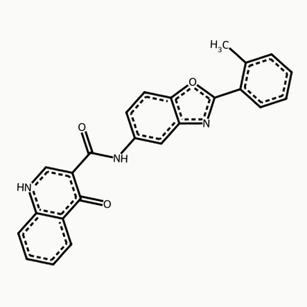 Cc1ccccc1-c1nc2cc(NC(=O)c3c[nH]c4ccccc4c3=O)ccc2o1